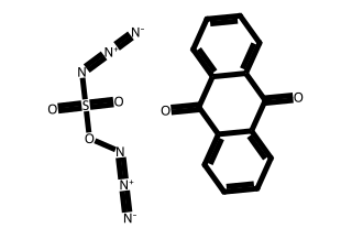 O=C1c2ccccc2C(=O)c2ccccc21.[N-]=[N+]=NOS(=O)(=O)N=[N+]=[N-]